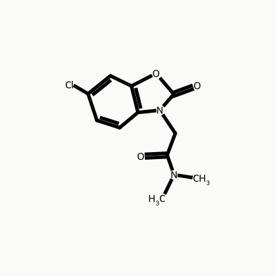 CN(C)C(=O)Cn1c(=O)oc2cc(Cl)ccc21